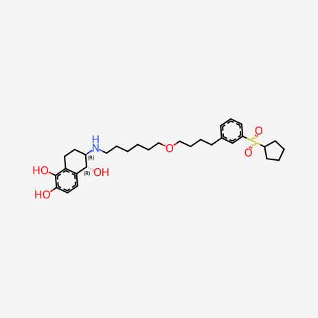 O=S(=O)(c1cccc(CCCCOCCCCCCN[C@@H]2CCc3c(ccc(O)c3O)[C@H]2O)c1)C1CCCC1